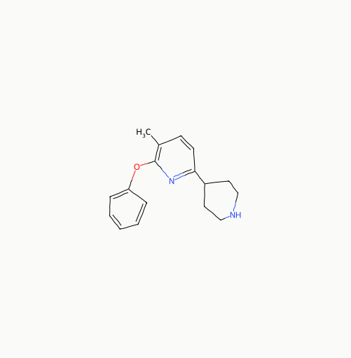 Cc1ccc(C2CCNCC2)nc1Oc1ccccc1